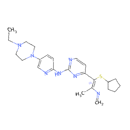 C=N/C(C)=C(\SC1CCCC1)c1ccnc(Nc2ccc(N3CCN(CC)CC3)cn2)n1